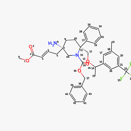 COC(=O)/C=C/C[C@@]1(N)CC[C@@](COC(C)c2cc(C)cc(C(F)(F)F)c2)(c2ccccc2)N(C(=O)OCc2ccccc2)C1